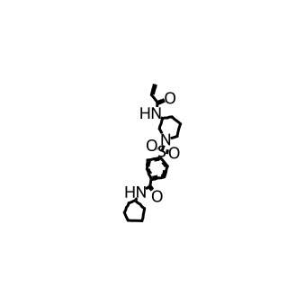 C=CC(=O)N[C@H]1CCCN(S(=O)(=O)c2ccc(C(=O)NC3CCCCC3)cc2)C1